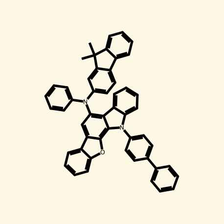 CC1(C)c2ccccc2-c2ccc(N(c3ccccc3)c3cc4c5ccccc5oc4c4c3c3ccccc3n4-c3ccc(-c4ccccc4)cc3)cc21